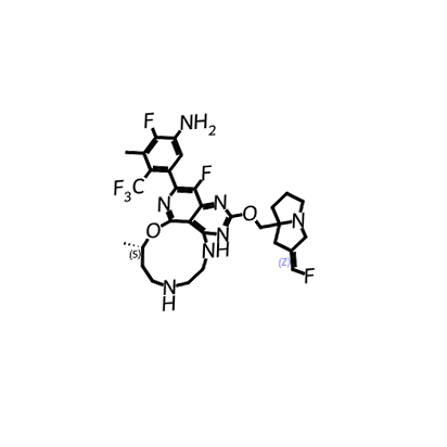 Cc1c(F)c(N)cc(-c2nc3c4c(nc(OCC56CCCN5C/C(=C\F)C6)nc4c2F)NCCNCC[C@H](C)O3)c1C(F)(F)F